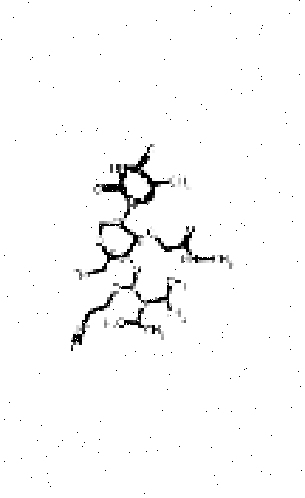 [2H]C[C@H]1OC[C@@H](n2cc(C)c(=O)[nH]c2=O)[C@H](OCC(=O)NC)[C@@H]1OP(OCC[N+]#[C-])N(C(C)C)C(C)C